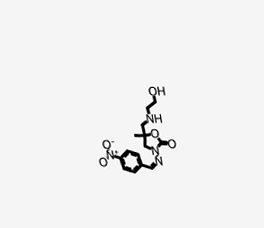 CC1(CNCCO)CN(/N=C\c2ccc([N+](=O)[O-])cc2)C(=O)O1